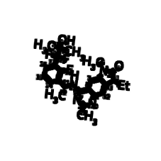 CCC1C(=O)N(C)c2cc3c(N[C@H](C)c4cccc(C(F)(F)C(C)(C)O)c4F)nc(C)nc3cc21